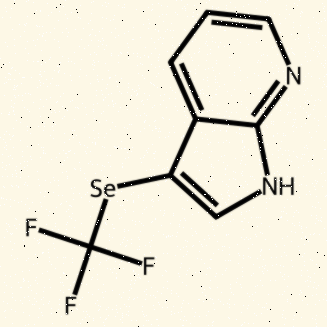 FC(F)(F)[Se]c1c[nH]c2ncccc12